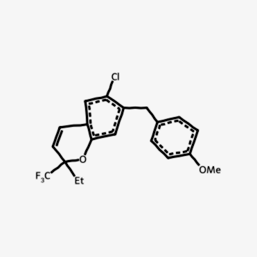 CCC1(C(F)(F)F)C=Cc2cc(Cl)c(Cc3ccc(OC)cc3)cc2O1